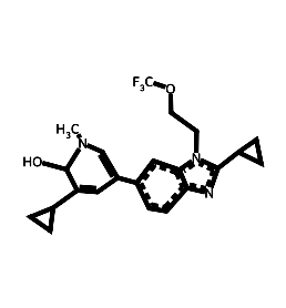 CN1C=C(c2ccc3nc(C4CC4)n(CCOC(F)(F)F)c3c2)C=C(C2CC2)C1O